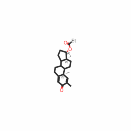 CCC(=O)O[C@@H]1CCC2C3CCC4=CC(=O)C(C)=C[C@]4(C)C3CC[C@@]21C